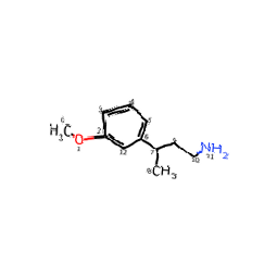 COc1cccc(C(C)CCN)c1